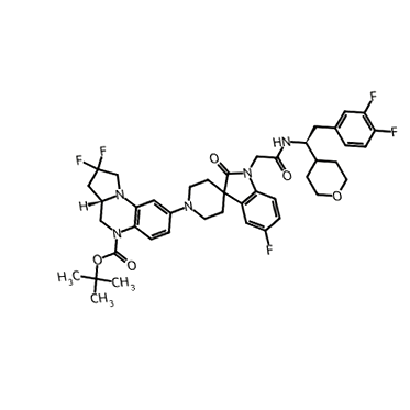 CC(C)(C)OC(=O)N1C[C@@H]2CC(F)(F)CN2c2cc(N3CCC4(CC3)C(=O)N(CC(=O)N[C@@H](Cc3ccc(F)c(F)c3)C3CCOCC3)c3ccc(F)cc34)ccc21